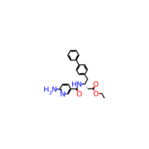 CCOC(=O)C[C@@H](Cc1ccc(-c2ccccc2)cc1)NC(=O)c1ccc(N)nc1